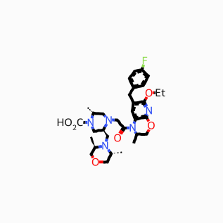 CCOc1nc2c(cc1Cc1ccc(F)cc1)N(C(=O)CN1C[C@@H](C)N(C(=O)O)C[C@@H]1CN1[C@H](C)COC[C@H]1C)C(C)CO2